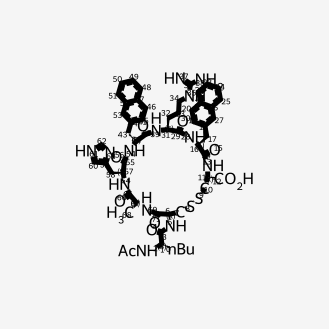 CCCC[C@H](NC(C)=O)C(=O)N[C@H]1CSSC[C@@H](C(=O)O)NC(=O)[C@H](Cc2ccc3ccccc3c2)NC(=O)[C@H](CCCNC(=N)N)NC(=O)[C@@H](Cc2ccc3ccccc3c2)NC(=O)[C@H](Cc2c[nH]cn2)NC(=O)[C@@H](C)NC1=O